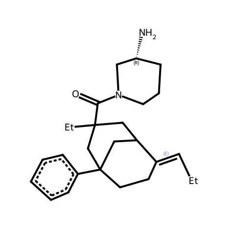 CC/C=C1\CCC2(c3ccccc3)CC1CC(CC)(C(=O)N1CCC[C@@H](N)C1)C2